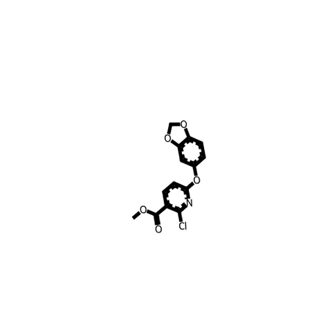 COC(=O)c1ccc(Oc2ccc3c(c2)OCO3)nc1Cl